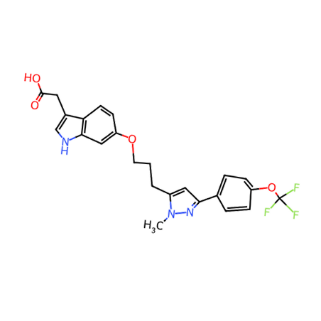 Cn1nc(-c2ccc(OC(F)(F)F)cc2)cc1CCCOc1ccc2c(CC(=O)O)c[nH]c2c1